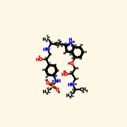 CC(C)NCC(O)c1ccc(NS(C)(=O)=O)cc1.Cc1cc2c(OCC(O)CNC(C)C)cccc2[nH]1